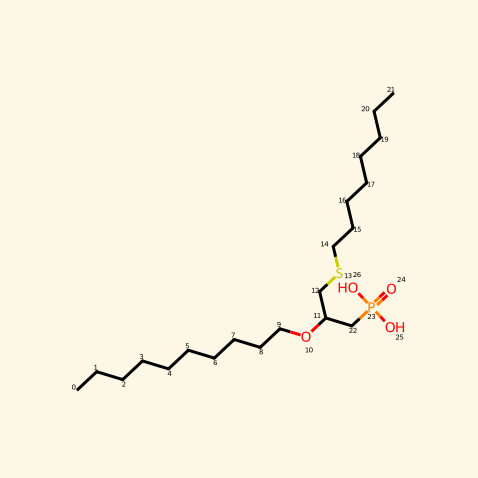 CCCCCCCCCCOC(CSCCCCCCCC)CP(=O)(O)O